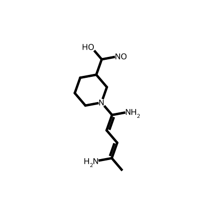 C/C(N)=C/C=C(\N)N1CCCC(C(O)N=O)C1